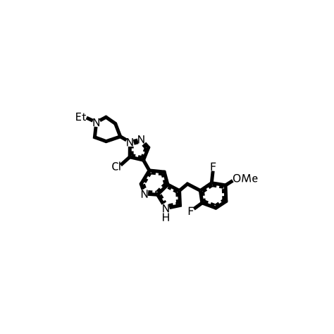 CCN1CCC(n2ncc(-c3cnc4[nH]cc(Cc5c(F)ccc(OC)c5F)c4c3)c2Cl)CC1